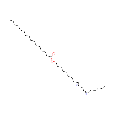 CCCCC/C=C\C/C=C/CCCCCCCCOC(=O)CCCCCCCCCCCCCCC